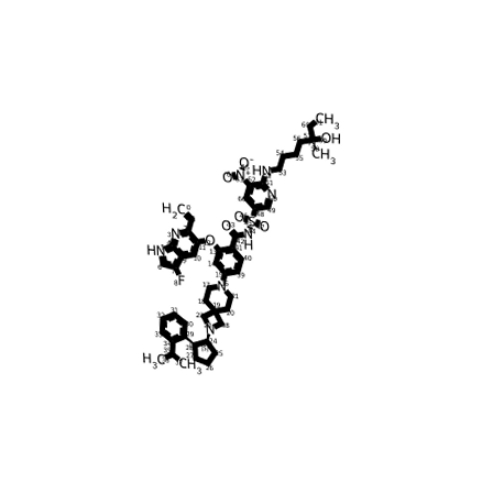 C=Cc1nc2[nH]cc(F)c2cc1Oc1cc(N2CCC3(CC2)CN([C@H]2CCC[C@H]2c2ccccc2C(C)C)C3)ccc1C(=O)NS(=O)(=O)c1cnc(NCCCC[C@](C)(O)CC)c([N+](=O)[O-])c1